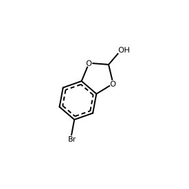 OC1Oc2ccc(Br)cc2O1